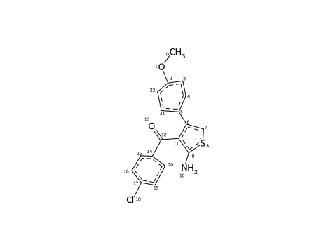 COc1ccc(-c2csc(N)c2C(=O)c2ccc(Cl)cc2)cc1